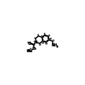 CC(C)(C)OC(=O)N1CCc2ccc(CN)cc2C1